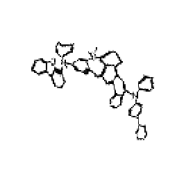 C[Si]1(C)c2cc(N(c3ccccc3)c3cccc4c3oc3ccccc34)ccc2-c2cc3c4ccccc4c(N(c4ccccc4)c4ccc(-c5ccccc5)cc4)cc3c3cccc1c23